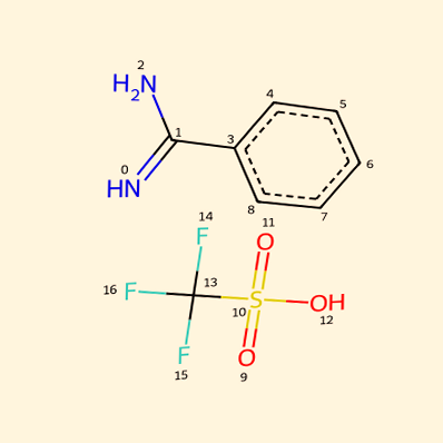 N=C(N)c1ccccc1.O=S(=O)(O)C(F)(F)F